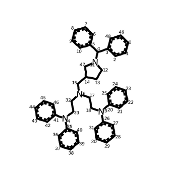 c1ccc(C(c2ccccc2)N2CCC(CN(CCN(c3ccccc3)c3ccccc3)CCN(c3ccccc3)c3ccccc3)C2)cc1